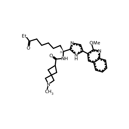 CCC(=O)CCCCC[C@H](NC(=O)C1CC2(C1)CN(C)C2)c1ncc(-c2cc3ccccc3nc2OC)[nH]1